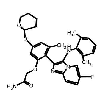 Cc1cccc(C)c1Nc1c(-c2c(C)cc(OC3CCCCO3)cc2OCC(N)=O)nc2ccc(F)cn12